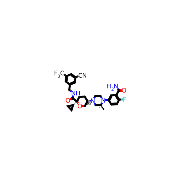 C[C@H]1CN([C@@H]2CC[C@@](C(=O)NCc3cc(C#N)cc(C(F)(F)F)c3)(C3CC3)OC2)CCN1c1ccc(F)c(C(N)=O)c1